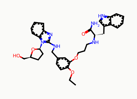 CCOc1ccc(CNc2nc3ccccc3n2[C@H]2CC[C@@H](CO)O2)cc1OCCCN[C@@H](Cc1c[nH]c2ccccc12)C(N)=O